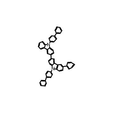 c1ccc(-c2ccc(-n3c4ccccc4c4cc(-c5ccc6c(c5)c5cc(-c7ccccc7)ccc5n6-c5ccc(-c6ccccc6)cc5)ccc43)cc2)cc1